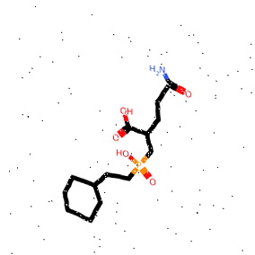 NC(=O)CCC(CP(=O)(O)CCC1CCCCC1)C(=O)O